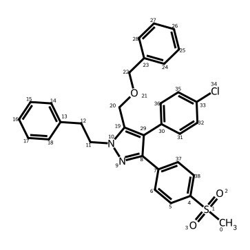 CS(=O)(=O)c1ccc(-c2nn(CCc3ccccc3)c(COCc3ccccc3)c2-c2ccc(Cl)cc2)cc1